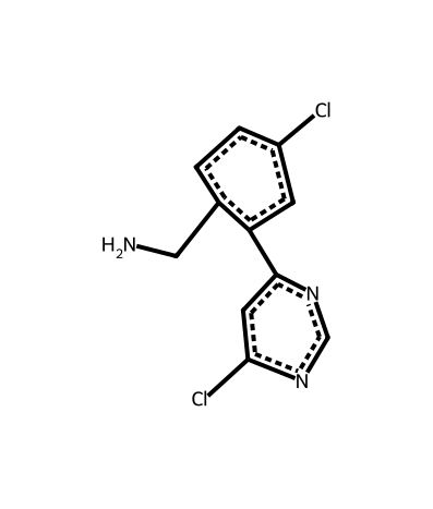 NCc1ccc(Cl)cc1-c1cc(Cl)ncn1